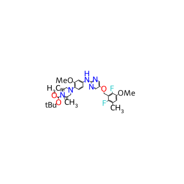 COc1cc(Nc2ncc(OCc3c(F)c(C)cc(OC)c3F)cn2)ccc1N1C[C@@H](C)N(C(=O)OC(C)(C)C)[C@@H](C)C1